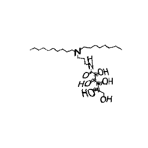 CCCCCCCCCCN(CCCCCCCC)CCCNC(=O)[C@H](O)[C@@H](O)[C@H](O)[C@H](O)CO